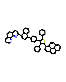 c1ccc(-c2sc(-c3ccc4ccc5cccc6ccc3c4c56)c(-c3ccccc3)c2-c2ccc(-c3ccc(-c4ccc5ccc6cccnc6c5n4)c4ccccc34)cc2)cc1